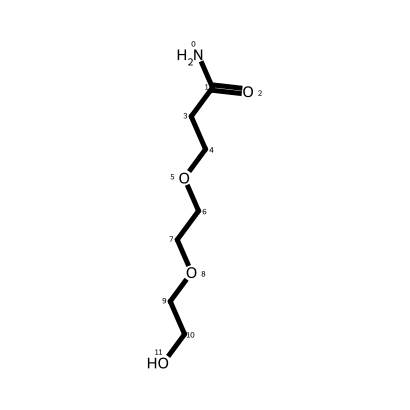 NC(=O)CCOCCOCCO